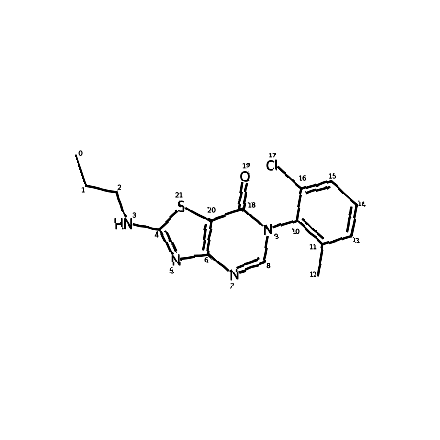 CCCNc1nc2ncn(-c3c(C)cccc3Cl)c(=O)c2s1